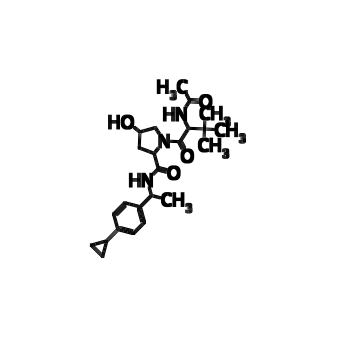 CC(=O)NC(C(=O)N1CC(O)CC1C(=O)NC(C)c1ccc(C2CC2)cc1)C(C)(C)C